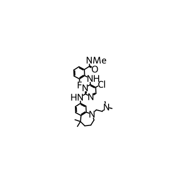 CNC(=O)c1cccc(F)c1Nc1nc(Nc2ccc3c(c2)N(CCN(C)C)CCCC3(C)C)ncc1Cl